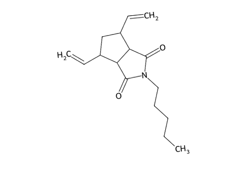 C=CC1CC(C=C)C2C(=O)N(CCCCC)C(=O)C12